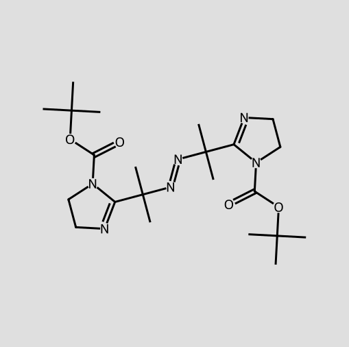 CC(C)(C)OC(=O)N1CCN=C1C(C)(C)N=NC(C)(C)C1=NCCN1C(=O)OC(C)(C)C